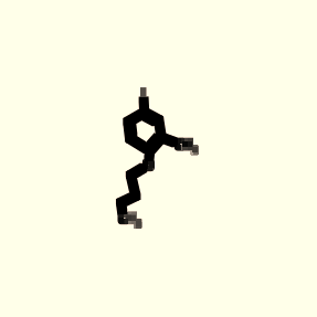 CCCCOc1ccc(I)cc1C